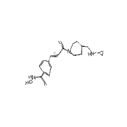 O=C(NO)c1ccc(/C=C/C(=O)N2CCC(CNC3CC3)CC2)cc1